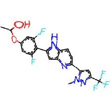 CC(O)Oc1cc(F)c(-c2cc3nc(-c4cc(C(F)(F)F)nn4C)ccc3[nH]2)c(F)c1